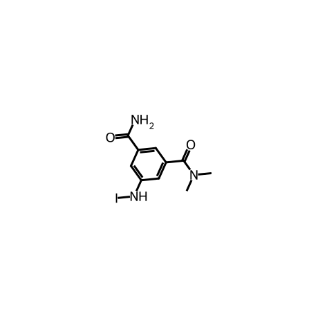 CN(C)C(=O)c1cc(NI)cc(C(N)=O)c1